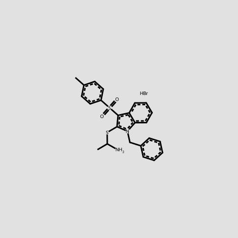 Br.Cc1ccc(S(=O)(=O)c2c(SC(C)N)n(Cc3ccccc3)c3ccccc23)cc1